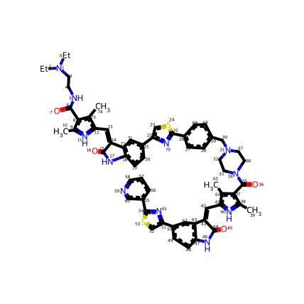 CCN(CC)CCNC(=O)c1c(C)[nH]c(/C=C2\C(=O)Nc3ccc(-c4csc(-c5ccc(CN6CCN(C(=O)c7c(C)[nH]c(/C=C8\C(=O)Nc9ccc(-c%10csc(-c%11cccnc%11)n%10)cc98)c7C)CC6)cc5)n4)cc32)c1C